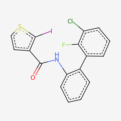 O=C(Nc1ccccc1-c1cccc(Cl)c1F)c1ccsc1I